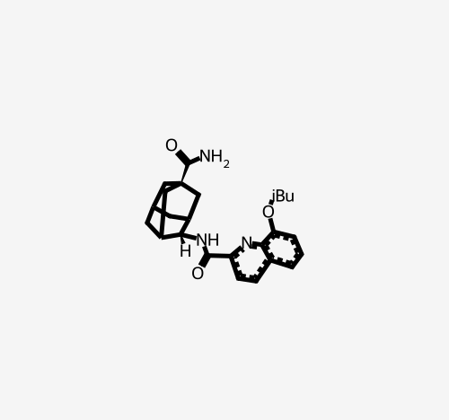 CCC(C)Oc1cccc2ccc(C(=O)N[C@H]3C4CC5CC3C[C@](C(N)=O)(C5)C4)nc12